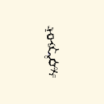 CC(=O)C(C)(C)Oc1ccc(C(=O)/C=C/c2sc(-c3ccc(C(F)(F)F)cc3)nc2C(C)C)cc1C